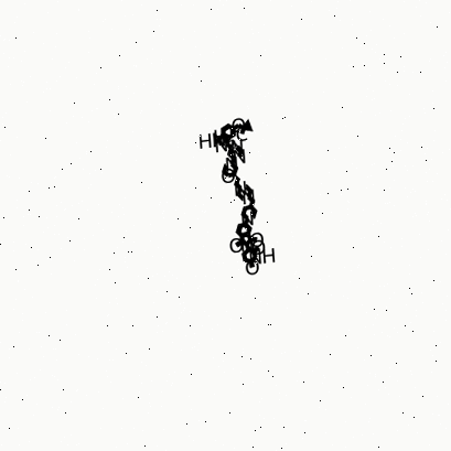 CC1(Oc2ccc3[nH]nc(-c4cc(N5CCO[C@H](CCN6CCN(CC7CCN(c8ccc9c(c8)C(=O)N(C8CCC(=O)NC8=O)C9=O)CC7)CC6)C5)ncn4)c3c2)CC1